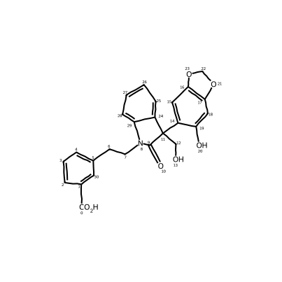 O=C(O)c1cccc(CCN2C(=O)C(CO)(c3cc4c(cc3O)OCO4)c3ccccc32)c1